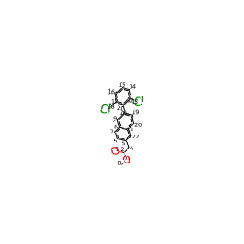 COC(=O)Cc1ccc2cc(-c3c(Cl)cccc3Cl)ccc2c1